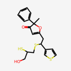 CC1(c2ccccc2)OC(CC(SCC(S)CO)c2ccsc2)=CC1=O